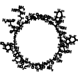 CCCC[C@H]1C(=O)N(C)[C@@H](CCCC)C(=O)N[C@@H](CCCNC(=N)N)C(=O)N[C@H](C(=O)NCC(N)=O)CSCC(=O)N[C@@H](Cc2ccc(O)cc2)C(=O)N2CCCC[C@H]2C(=O)N[C@@H](CC(=O)O)C(=O)N2CCC[C@H]2C(=O)N[C@@H](CN)C(=O)N[C@@H](CC(C)C)C(=O)N2C[C@H](O)C[C@H]2C(=O)N[C@@H](Cc2c[nH]c3ccccc23)C(=O)N[C@@H](CO)C(=O)N[C@@H](Cc2c[nH]c3ccccc23)C(=O)N1C